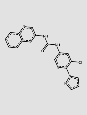 O=C(Nc1cnc(-n2cccn2)c(Cl)c1)Nc1cnc2ccccc2c1